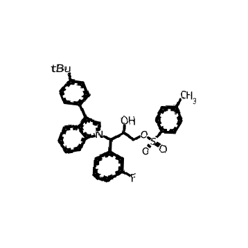 Cc1ccc(S(=O)(=O)OCC(O)C(c2cccc(F)c2)n2cc(-c3ccc(C(C)(C)C)cc3)c3ccccc32)cc1